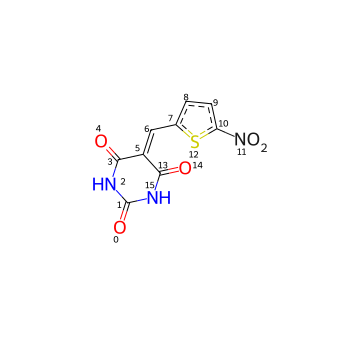 O=C1NC(=O)C(=Cc2ccc([N+](=O)[O-])s2)C(=O)N1